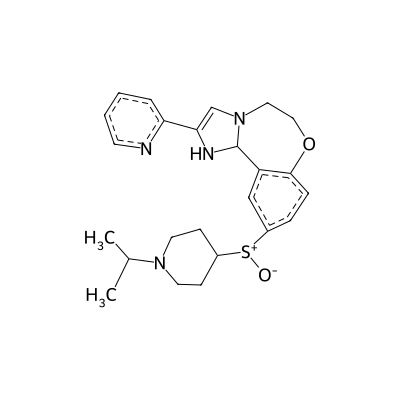 CC(C)N1CCC([S+]([O-])c2ccc3c(c2)C2NC(c4ccccn4)=CN2CCO3)CC1